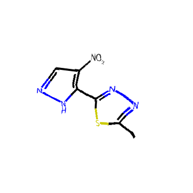 Cc1nnc(-c2[nH]ncc2[N+](=O)[O-])s1